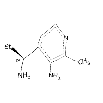 CC[C@H](N)c1ccnc(C)c1N